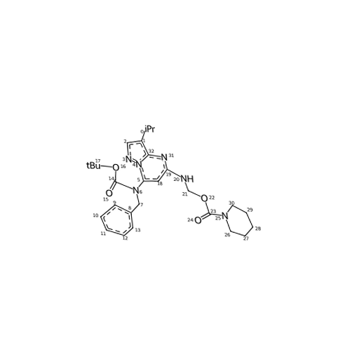 CC(C)c1cnn2c(N(Cc3ccccc3)C(=O)OC(C)(C)C)cc(NCOC(=O)N3CCCCC3)nc12